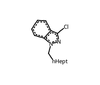 CCCCCCCCn1nc(Cl)c2ccccc21